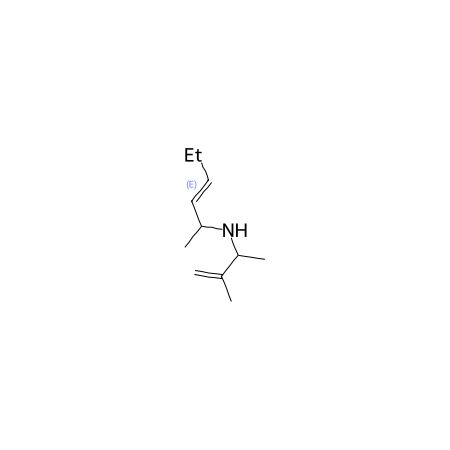 C=C(C)C(C)NC(C)/C=C/CC